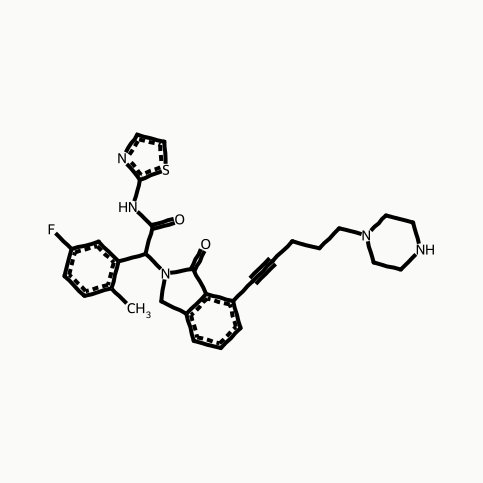 Cc1ccc(F)cc1C(C(=O)Nc1nccs1)N1Cc2cccc(C#CCCCN3CCNCC3)c2C1=O